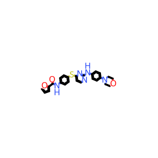 O=C(Nc1ccc(Sc2ccnc(Nc3ccc(N4CCOCC4)cc3)n2)cc1)c1ccco1